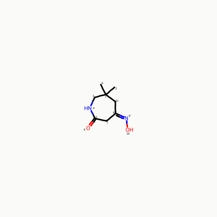 CC1(C)CNC(=O)CC(=NO)C1